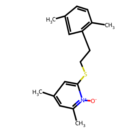 Cc1ccc(C)c(CCSc2cc(C)cc(C)[n+]2[O-])c1